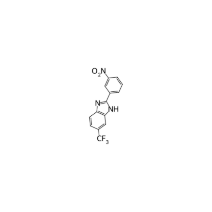 O=[N+]([O-])c1cccc(-c2nc3ccc(C(F)(F)F)cc3[nH]2)c1